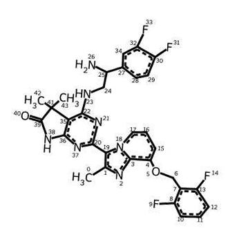 Cc1nc2c(OCc3c(F)cccc3F)cccn2c1-c1nc(NCC(N)c2ccc(F)c(F)c2)c2c(n1)NC(=O)C2(C)C